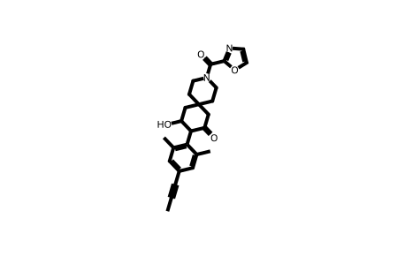 CC#Cc1cc(C)c(C2C(=O)CC3(CCN(C(=O)c4ncco4)CC3)CC2O)c(C)c1